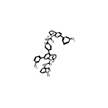 CCn1ncc2c(NC(=O)N3c4nc(-c5cccc(C(F)(F)F)c5)cc(-c5ccc(NC(=O)N6c7nc(-c8cccc(C(F)(F)F)c8)ccc7N7CC[C@H]6C7)nc5)c4N4CC[C@H]3C4)cccc21